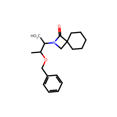 CC(OCc1ccccc1)C(C(=O)O)N1CC2(CCCCC2)C1=O